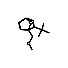 COCC12CCC(CC1C(C)(C)C)O2